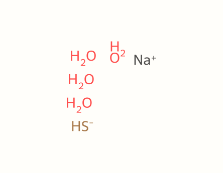 O.O.O.O.[Na+].[SH-]